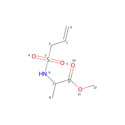 C=CCS(=O)(=O)NC(C)C(=O)OC